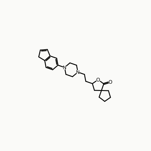 O=C1OC(CCN2CCN(c3ccc4c(c3)C=CC4)CC2)CC12CCCC2